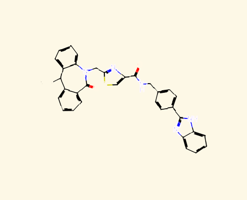 CC(=O)OC1c2ccccc2C(=O)N(Cc2nc(C(=O)NCc3ccc(-c4nc5ccccc5[nH]4)cc3)cs2)c2ccccc21